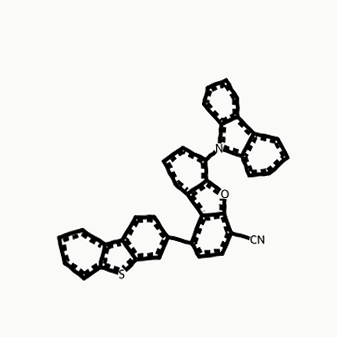 N#Cc1ccc(-c2ccc3c(c2)sc2ccccc23)c2c1oc1c(-n3c4ccccc4c4ccccc43)cccc12